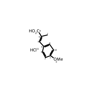 COc1ccc(C=C(C)C(=O)O)cc1.Cl